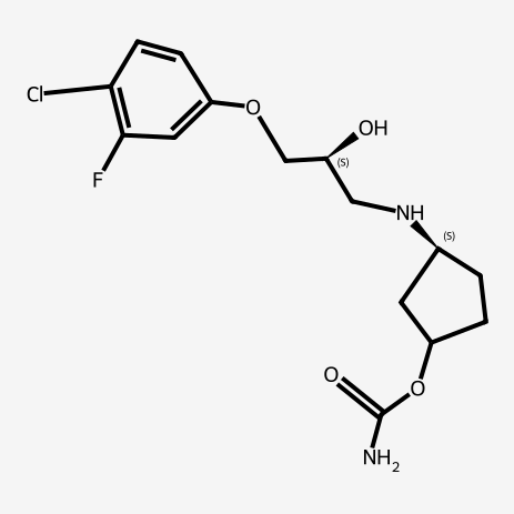 NC(=O)OC1CC[C@H](NC[C@H](O)COc2ccc(Cl)c(F)c2)C1